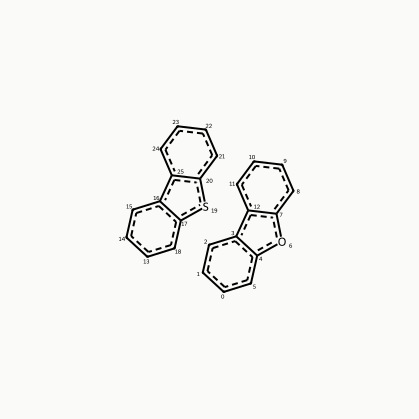 c1ccc2c(c1)oc1ccccc12.c1ccc2c(c1)sc1ccccc12